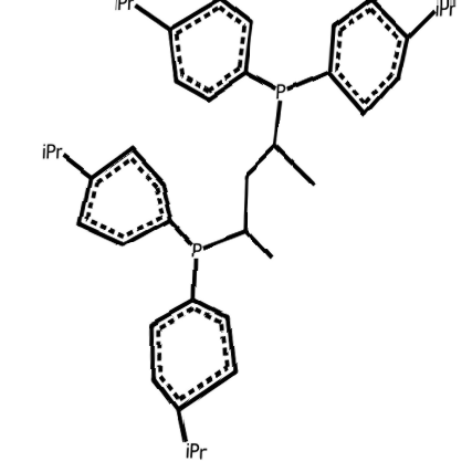 CC(C)c1ccc(P(c2ccc(C(C)C)cc2)C(C)CC(C)P(c2ccc(C(C)C)cc2)c2ccc(C(C)C)cc2)cc1